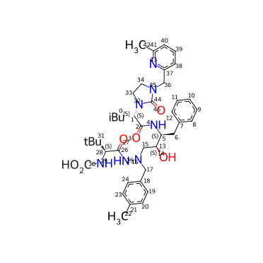 CC[C@H](C)[C@@H](C(=O)N[C@@H](Cc1ccccc1)[C@@H](O)CN(Cc1ccc(C)cc1)NC(=O)[C@@H](NC(=O)O)C(C)(C)C)N1CCN(Cc2cccc(C)n2)C1=O